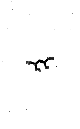 CC(C)/C(C=O)=C\N(C)C